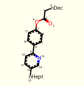 CCCCCCCCCCCC(=O)Oc1ccc(-c2ccc(CCCCCCC)cn2)cc1